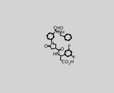 O=CN(NCc1ccccc1)c1cccc(N2CC(C(=O)NC(CC(=O)O)c3cc(F)cc(F)c3)CC2=O)c1